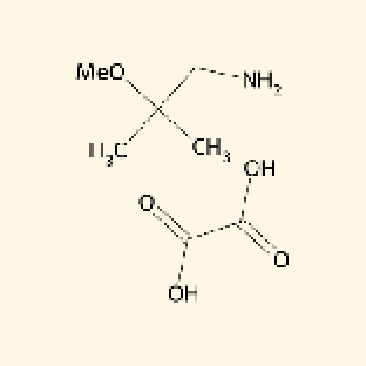 COC(C)(C)CN.O=C(O)C(=O)O